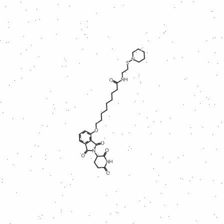 O=C(CCCCCCCCOc1cccc2c1C(=O)N(C1CCC(=O)NC1=O)C2=O)NCCSN1CCCCC1